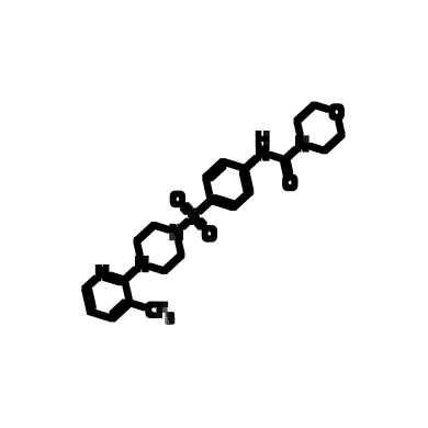 O=C(Nc1ccc(S(=O)(=O)N2CCN(c3ncccc3C(F)(F)F)CC2)cc1)N1CCOCC1